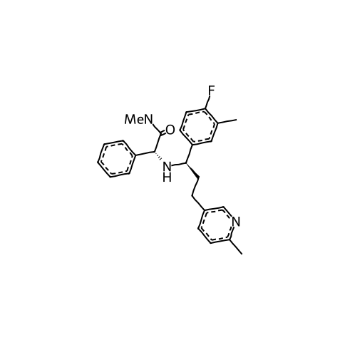 CNC(=O)[C@H](N[C@H](CCc1ccc(C)nc1)c1ccc(F)c(C)c1)c1ccccc1